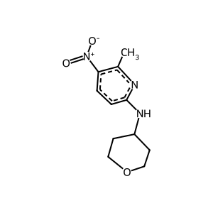 Cc1nc(NC2CCOCC2)ccc1[N+](=O)[O-]